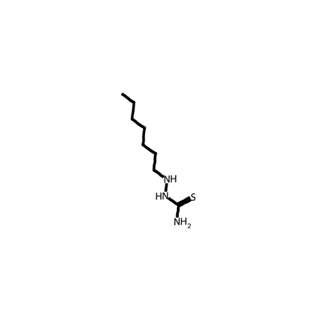 CCCCCCCNNC(N)=S